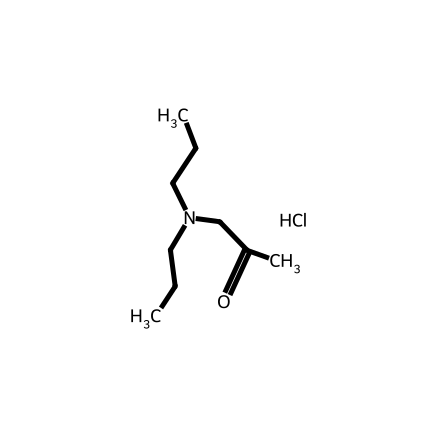 CCCN(CCC)CC(C)=O.Cl